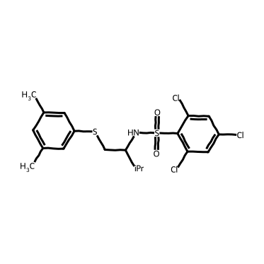 Cc1cc(C)cc(SCC(NS(=O)(=O)c2c(Cl)cc(Cl)cc2Cl)C(C)C)c1